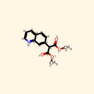 COC(=O)C(C(=O)OC)c1ccc2cccnc2c1